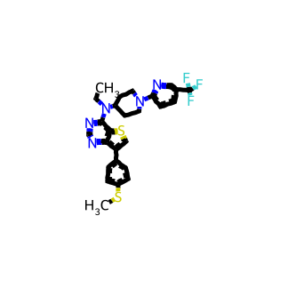 CCN(c1ncnc2c(-c3ccc(SC)cc3)csc12)C1CCN(c2ccc(C(F)(F)F)cn2)CC1